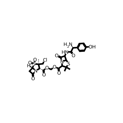 CC1(C)SC2C(NC(=O)[C@H](N)c3ccc(O)cc3)C(=O)N2C1C(=O)OCOC(=O)[C@@H]1N2C(=O)C[C@@H]2S(=O)(=O)[C@@]1(C)CCl